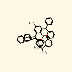 Cc1cc(C(c2ccccc2)c2ccccc2)c(-n2cc3cccc(N(C)C)n3[c]2=[Pd]([Cl])[CH2]C=Cc2ccccc2)c(C(c2ccccc2)c2ccccc2)c1